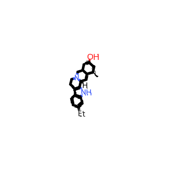 CCc1ccc2c3c([nH]c2c1)[C@H]1CC2C(C[C@@H](O)C[C@H]2C)CN1CC3